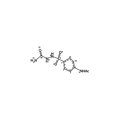 CC(=O)Nc1ccc(S(=O)(=O)NNC(N)=O)cc1